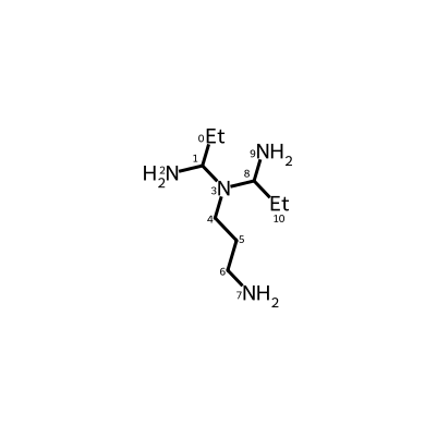 CCC(N)N(CCCN)C(N)CC